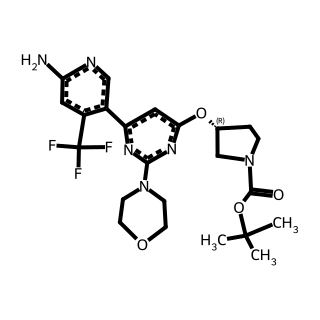 CC(C)(C)OC(=O)N1CC[C@@H](Oc2cc(-c3cnc(N)cc3C(F)(F)F)nc(N3CCOCC3)n2)C1